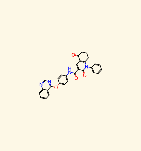 O=C1CCCc2c1cc(C(=O)Nc1ccc(Oc3ncnc4ccccc34)cc1)c(=O)n2-c1ccccc1